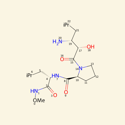 CONC(=O)[C@H](CC(C)C)NC(=O)[C@@H]1CCCN1C(=O)[C@@H](O)[C@H](N)CC(C)C